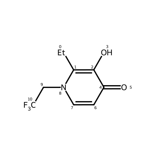 CCc1c(O)c(=O)ccn1CC(F)(F)F